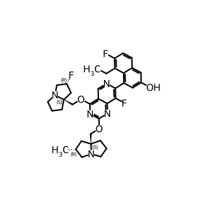 CCc1c(F)ccc2cc(O)cc(-c3ncc4c(OC[C@@]56CCCN5C[C@H](F)C6)nc(OC[C@@]56CCCN5C[C@H](C)C6)nc4c3F)c12